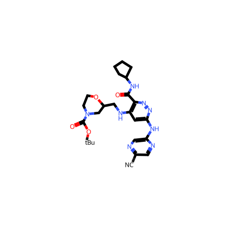 CC(C)(C)OC(=O)N1CCOC(CNc2cc(Nc3cnc(C#N)cn3)nnc2C(=O)NC2CCCC2)C1